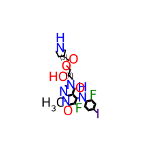 Cn1c(=O)c(F)c(Nc2ccc(I)cc2F)c2c(=O)n(C[C@@H](O)COC(=O)[C@H]3CCNC3)cnc21